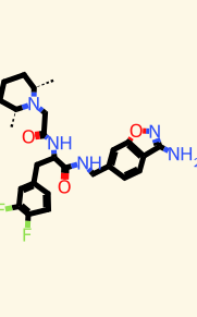 C[C@@H]1CCC[C@H](C)N1CC(=O)NC(Cc1ccc(F)c(F)c1)C(=O)NCc1ccc2c(N)noc2c1